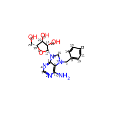 Nc1ncnc2c1N(Cc1ccccc1)CN2[C@@H]1O[C@H](CO)[C@@H](O)[C@H]1O